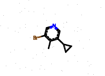 Cc1c(Br)cncc1C1CC1